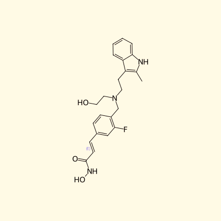 Cc1[nH]c2ccccc2c1CCN(CCO)Cc1ccc(/C=C/C(=O)NO)cc1F